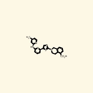 Cc1ccnc(Nc2cccc(-c3cnc(N4CCc5c(cccc5C(=O)O)C4)s3)n2)c1